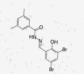 Cc1cc(C)cc(C(=O)N/N=C/c2cc(Br)cc(Br)c2O)c1